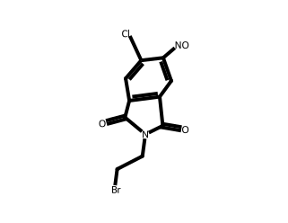 O=Nc1cc2c(cc1Cl)C(=O)N(CCBr)C2=O